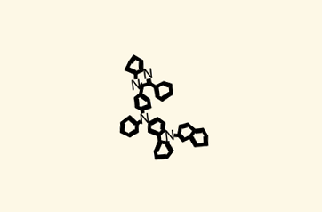 c1ccc(-c2nc3ccccc3nc2-c2ccc(N(c3ccccc3)c3ccc4c(c3)c3ccccc3n4-c3ccc4ccccc4c3)cc2)cc1